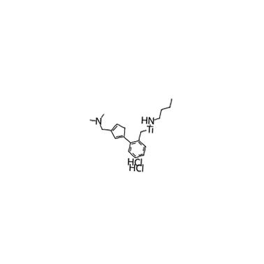 CCCC[NH][Ti][CH2]c1ccccc1C1=CC(CN(C)C)=CC1.Cl.Cl